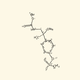 COC(C)(CNC(=O)OC(C)(C)C)c1ccc(OS(C)(=O)=O)cc1